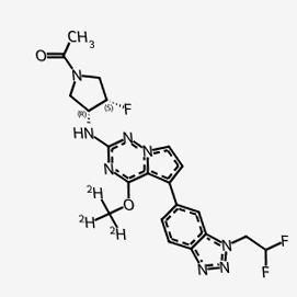 [2H]C([2H])([2H])Oc1nc(N[C@@H]2CN(C(C)=O)C[C@@H]2F)nn2ccc(-c3ccc4nnn(CC(F)F)c4c3)c12